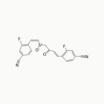 N#Cc1ccc(/C=C\[S+]([O-])CC(=O)/C=C/c2ccc(C#N)cc2F)c(F)c1